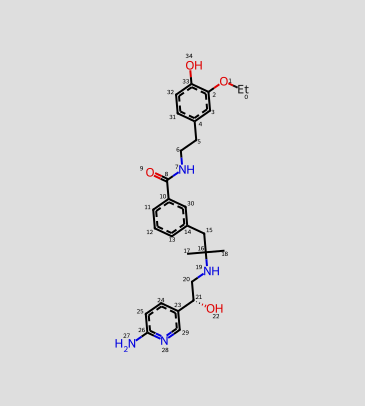 CCOc1cc(CCNC(=O)c2cccc(CC(C)(C)NC[C@H](O)c3ccc(N)nc3)c2)ccc1O